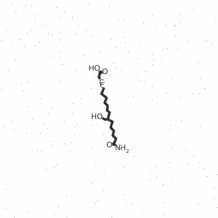 NC(=O)CCCCCC(CO)CCCCCCCCCCC(=O)O